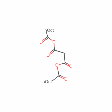 CCCCCCCCC(=O)OC(=O)CC(=O)OC(=O)CCCCCCCC